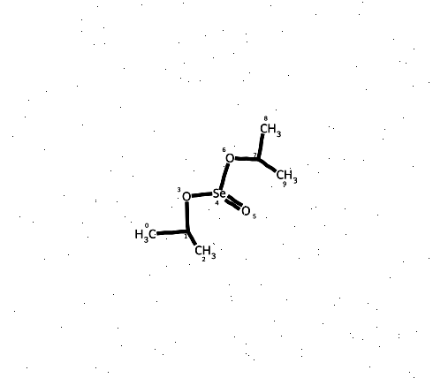 CC(C)O[Se](=O)OC(C)C